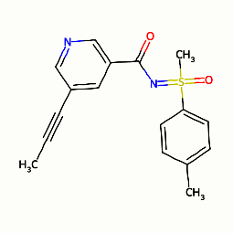 CC#Cc1cncc(C(=O)N=S(C)(=O)c2ccc(C)cc2)c1